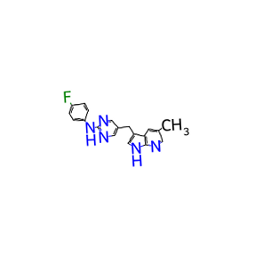 Cc1cnc2[nH]cc(Cc3cnc(Nc4ccc(F)cc4)nc3)c2c1